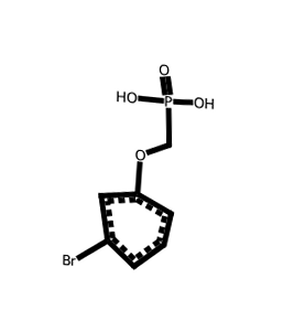 O=P(O)(O)COc1cccc(Br)c1